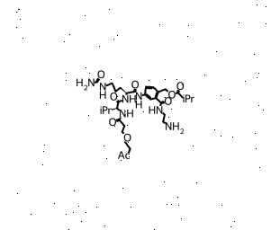 CC(=O)CCOCCC(=O)N[C@H](C(=O)N[C@@H](CCCNC(N)=O)C(=O)Nc1ccc(COC(=O)C(C)C)c(C(=O)NCCN)c1)C(C)C